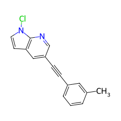 Cc1cccc(C#Cc2cnc3c(ccn3Cl)c2)c1